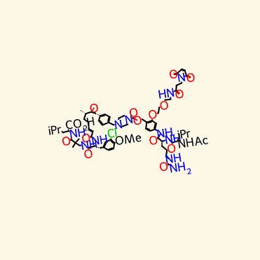 COc1ccc(C[C@@H](NC(=O)/C=C/CC[C@H](C)[C@H]2O[C@@H]2c2ccc(CN3CCN(C(=O)OCc4ccc(NC(=O)[C@H](CCCNC(N)=O)NC(=O)[C@@H](NC(C)=O)C(C)C)cc4OCCOCCNC(=O)CCN4C(=O)C=CC4=O)CC3)cc2)C(=O)NCC(C)(C)C(=O)N[C@@H](CC(C)C)C(=O)O)cc1Cl